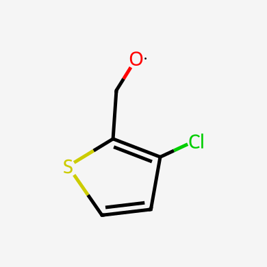 [O]Cc1sccc1Cl